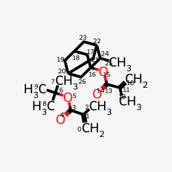 C=C(C)C(=O)OC(C)(C)C.C=C(C)C(=O)OC12CC3CC(CC(C3)C1C)C2